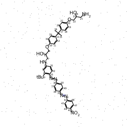 CC(C)(C)c1cc(NCC(O)COc2ccc(C(C)(C)c3ccc(OCC(O)CN)cc3)cc2)ccc1N=Nc1ccc(/N=N/c2ccc([N+](=O)[O-])cc2)cc1